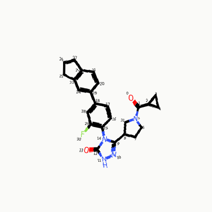 O=C(C1CC1)N1CCC(c2n[nH]c(=O)n2-c2ccc(-c3ccc4c(c3)CCC4)cc2F)C1